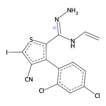 C=CN/C(=N\N)c1sc(I)c(C#N)c1-c1ccc(Cl)cc1Cl